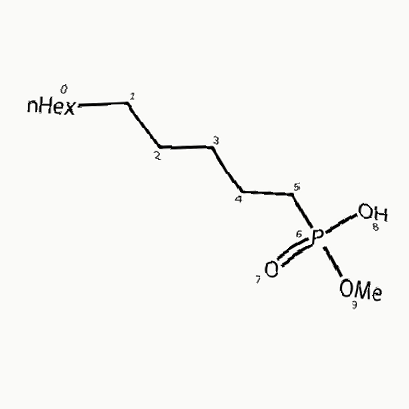 CCCCCCCCCCCP(=O)(O)OC